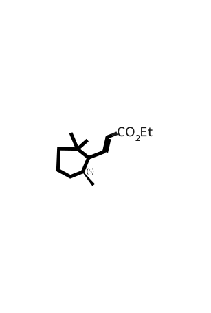 CCOC(=O)C=CC1[C@@H](C)CCCC1(C)C